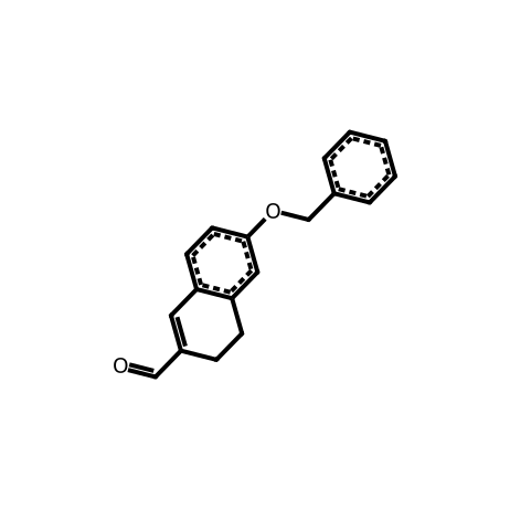 O=CC1=Cc2ccc(OCc3ccccc3)cc2CC1